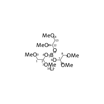 COCC(OC)OB(OC(COC)OC)OC(COC)OC.[Li]